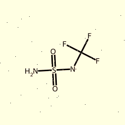 NS(=O)(=O)[N]C(F)(F)F